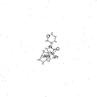 CC(C)N1C(=O)N(C2CCCOC2)CC12CC1CCC(C2)N1